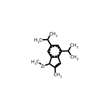 [CH3][Zr][CH]1C(C)=Cc2c(C(C)C)cc(C(C)C)cc21